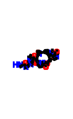 CCn1c(-c2cccnc2[C@H](C)OC)c2c3cc(ccc31)-c1csc(n1)C[C@H](NC(=O)C(C(C)C)N(C)C(=O)N(C)CCN(C)C(=O)[C@H]1CN1)C(=O)N1CCC[C@H](N1)C(=O)OCC(C)(C)C2